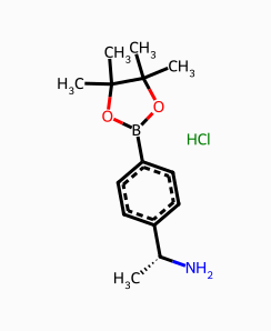 C[C@@H](N)c1ccc(B2OC(C)(C)C(C)(C)O2)cc1.Cl